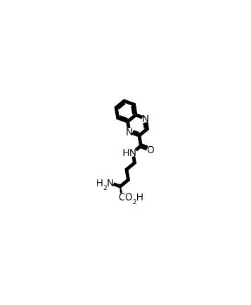 N[C@@H](CCCNC(=O)c1cnc2ccccc2n1)C(=O)O